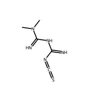 CN(C)C(=N)NC(=N)N=C=S